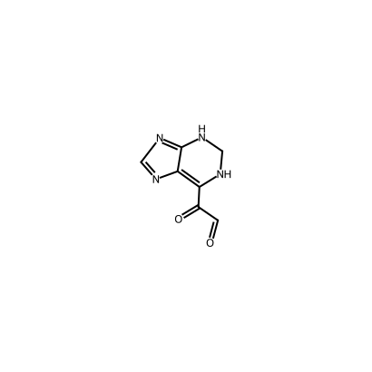 O=CC(=O)C1=C2N=CN=C2NCN1